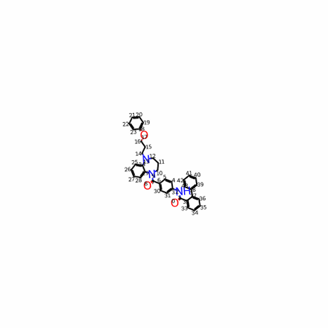 O=C(Nc1ccc(C(=O)N2CCCN(CCCOc3ccccc3)c3ccccc32)cc1)c1ccccc1-c1ccccc1